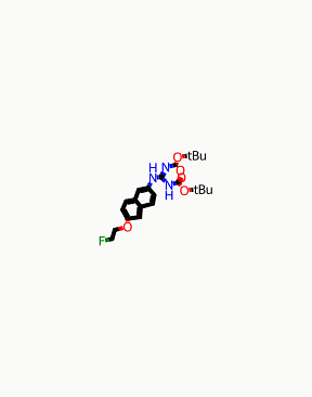 CC(C)(C)OC(=O)/N=C(\NC(=O)OC(C)(C)C)Nc1ccc2cc(OCCF)ccc2c1